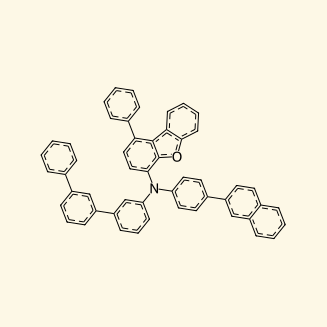 c1ccc(-c2cccc(-c3cccc(N(c4ccc(-c5ccc6ccccc6c5)cc4)c4ccc(-c5ccccc5)c5c4oc4ccccc45)c3)c2)cc1